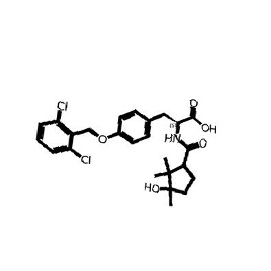 CC1(O)CCC(C(=O)N[C@@H](Cc2ccc(OCc3c(Cl)cccc3Cl)cc2)C(=O)O)C1(C)C